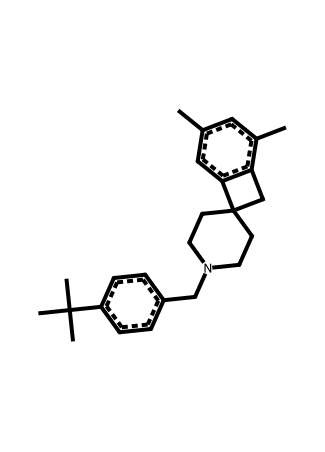 Cc1cc(C)c2c(c1)C1(CCN(Cc3ccc(C(C)(C)C)cc3)CC1)C2